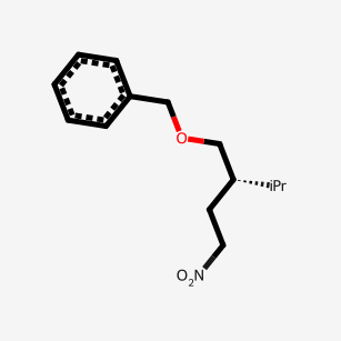 CC(C)[C@H](CC[N+](=O)[O-])COCc1ccccc1